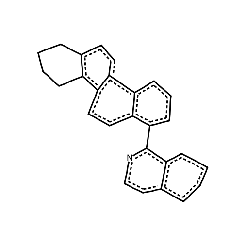 c1ccc2c(-c3cccc4c3ccc3c5c(ccc34)CCCC5)nccc2c1